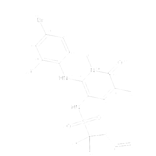 C=CCC1(S(=O)(=O)Nc2cc(C)c(=O)n(C)c2Nc2ccc(Br)cc2F)CC1